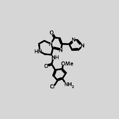 COc1cc(N)c(Cl)cc1C(=O)NC1CNCCn2c1nc(-c1ccncn1)cc2=O